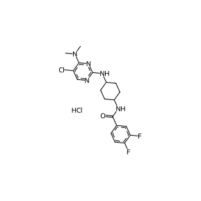 CN(C)c1nc(NC2CCC(NC(=O)c3ccc(F)c(F)c3)CC2)ncc1Cl.Cl